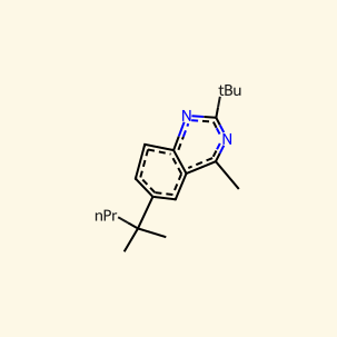 CCCC(C)(C)c1ccc2nc(C(C)(C)C)nc(C)c2c1